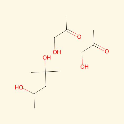 CC(=O)CO.CC(=O)CO.CC(O)CC(C)(C)O